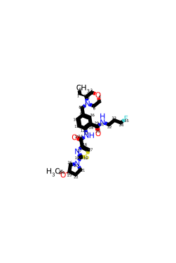 CC[C@H]1COCCN1Cc1ccc(NC(=O)c2csc(N3CC[C@H](OC)C3)n2)c(C(=O)NCCCF)c1